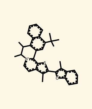 Cc1c(-c2sc3c4[n+](ccc3c2C)C(C)C(C)c2c-4cc(C(C)(C)C)c3ccccc23)oc2ccccc12